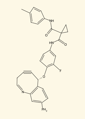 Cc1ccc(NC(=O)C2(C(=O)Nc3ccc(O[C@H]4C#CC/C=N\c5cc(P)ccc54)c(F)c3)CC2)cc1